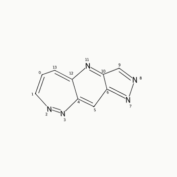 c1cnnc2cc3nncc3nc2c1